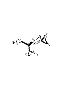 C1CO1.C=C(C)C